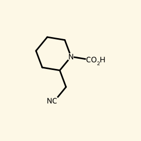 N#CCC1CCCCN1C(=O)O